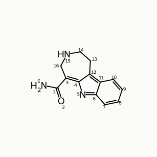 NC(=O)C1=C2N=c3ccccc3=C2CCNC1